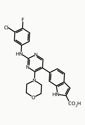 O=C(O)c1cc2ccc(-c3cnc(Nc4ccc(F)c(Cl)c4)nc3N3CCOCC3)cc2[nH]1